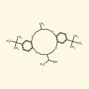 CC1COc2cc(C(C)(C)C)ccc2OCC(C(C)O)COc2cc(C(C)(C)C)ccc2OC1